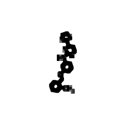 Cc1ccccc1COc1cccc(Nc2nccc(-c3nccs3)n2)c1